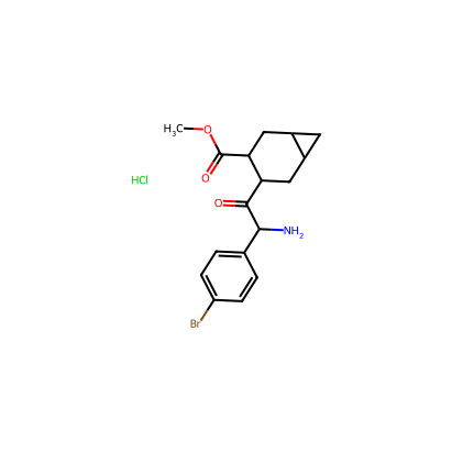 COC(=O)C1CC2CC2CC1C(=O)C(N)c1ccc(Br)cc1.Cl